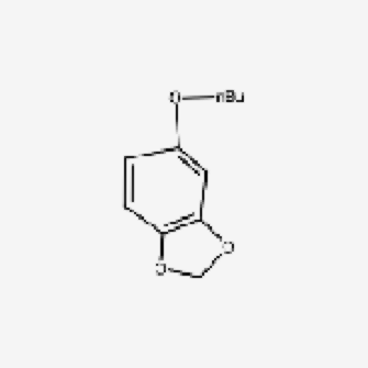 CCCCOc1ccc2c(c1)OCO2